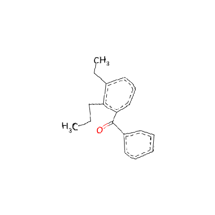 CCCc1c(CC)cccc1C(=O)c1ccccc1